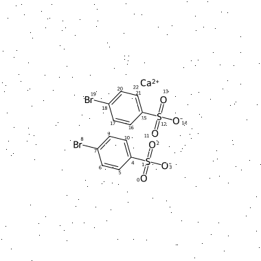 O=S(=O)([O-])c1ccc(Br)cc1.O=S(=O)([O-])c1ccc(Br)cc1.[Ca+2]